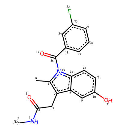 Cc1c(CC(=O)NC(C)C)c2cc(O)ccc2n1C(=O)c1cccc(F)c1